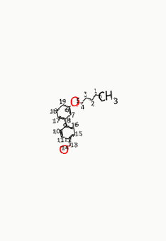 CCCCCOC1=CC(c2ccc(C=O)cc2)=CCC1